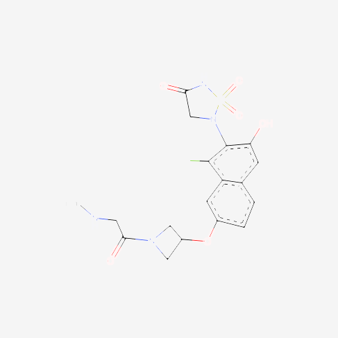 CCCNCC(=O)N1CC(Oc2ccc3cc(O)c(N4CC(=O)NS4(=O)=O)c(F)c3c2)C1